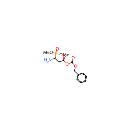 COP(=O)(OC)C(N)CC(=O)OC(=O)OCc1ccccc1